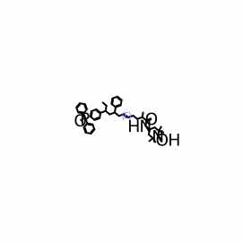 CCC(CC(C/C=C/CCC(C)C(=O)NC1CC(C)(C)N(O)C(C)(C)C1)c1ccccc1)c1ccc(P(=O)(c2ccccc2)c2ccccc2)cc1